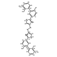 Cc1ccc(-c2nc(CCc3csc(-c4ccc(C)c(-c5cccc(C)c5C)c4)n3)cs2)cc1-c1cccc(C)c1C